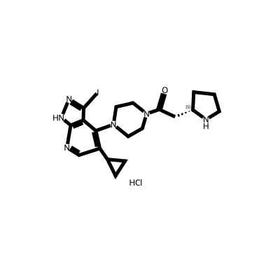 Cl.O=C(C[C@@H]1CCCN1)N1CCN(c2c(C3CC3)cnc3[nH]nc(I)c23)CC1